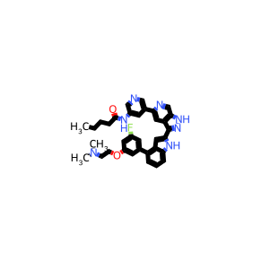 CCCCC(=O)Nc1cncc(-c2cc3c(-c4cc5c(-c6cc(F)cc(OCCN(C)C)c6)cccc5[nH]4)n[nH]c3cn2)c1